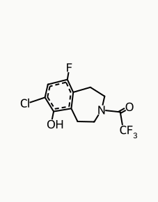 O=C(N1CCc2c(F)cc(Cl)c(O)c2CC1)C(F)(F)F